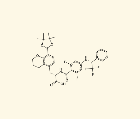 CC1(C)OB(c2ccc(C[C@H](NC(=O)c3c(F)cc(N[C@H](c4ccccc4)C(F)(F)F)cc3F)C(=O)O)c3c2OCCC3)OC1(C)C